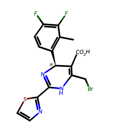 Cc1c([C@@H]2N=C(c3nccs3)NC(CBr)=C2C(=O)O)ccc(F)c1F